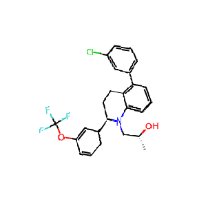 C[C@@H](O)CN1c2cccc(-c3cccc(Cl)c3)c2CC[C@@H]1C1C=C(OC(F)(F)F)C=CC1